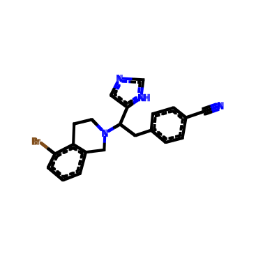 N#Cc1ccc(CC(c2cnc[nH]2)N2CCc3c(Br)cccc3C2)cc1